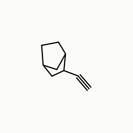 C#CC1CC2CCC1C2